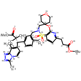 COC(=O)C(C)(C)[C@H](c1ccc(C)c(CN2CC3(CCOCC3)Oc3nc(CCC(=O)OC(C)(C)C)ccc3S2(=O)=O)c1)c1ccn2c(C(F)(F)F)nnc2c1C